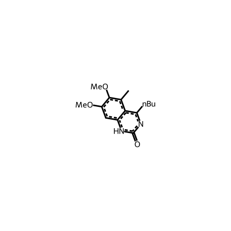 CCCCc1nc(=O)[nH]c2cc(OC)c(OC)c(C)c12